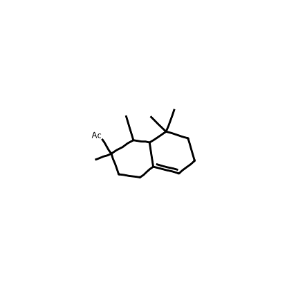 CC(=O)C1(C)CCC2=CCCC(C)(C)C2C1C